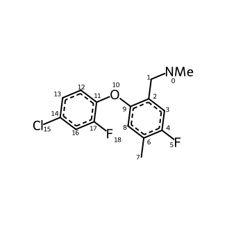 CNCc1cc(F)c(C)cc1Oc1ccc(Cl)cc1F